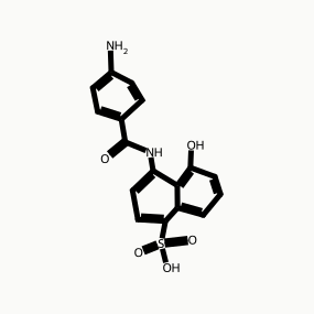 Nc1ccc(C(=O)Nc2ccc(S(=O)(=O)O)c3cccc(O)c23)cc1